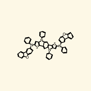 c1ccc(N(c2ccc3oc4ccccc4c3c2)c2cc3c(s2)c2cc4c(cc2n3-c2ccccc2)c2sc(N(c3ccccc3)c3ccc5oc6ccccc6c5c3)cc2n4-c2ccccc2)cc1